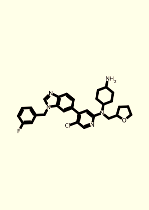 NC1CCC(N(CC2CCCO2)c2cc(-c3ccc4ncn(Cc5cccc(F)c5)c4c3)c(Cl)cn2)CC1